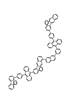 c1cc(-c2ccc3ccc(-c4cccc5cc6c(cc45)oc4ccc(-c5c7ccccc7c(-c7ccc(-c8cccc9c8oc8ccccc89)cc7)c7ccccc57)cc46)cc3c2)cc(-c2c3ccccc3c(-c3ccc(-c4ccc5oc6cc7ccccc7cc6c5c4)cc3)c3ccccc23)c1